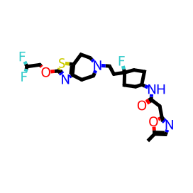 Cc1cnc(CC(=O)NC2CCC(F)(CCN3CCc4nc(OCC(F)F)sc4CC3)CC2)o1